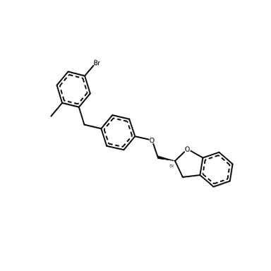 Cc1ccc(Br)cc1Cc1ccc(OC[C@@H]2Cc3ccccc3O2)cc1